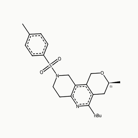 CCCCc1nc2c(c3c1C[C@H](C)OC3)CN(S(=O)(=O)c1ccc(C)cc1)CC2